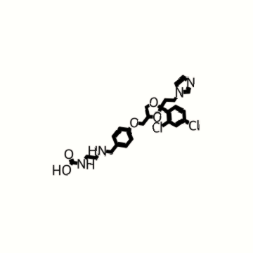 O=C(O)NCCNCc1ccc(OCC2COC(CCn3ccnc3)(c3ccc(Cl)cc3Cl)O2)cc1